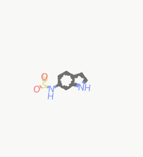 O=[SH](=O)Nc1ccc2cc[nH]c2c1